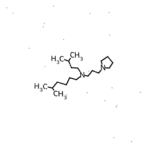 CC(C)CCCCN(CCCN1CCCC1)CCC(C)C